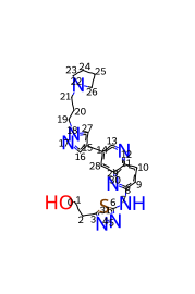 OCCc1nnc(Nc2ccc3ncc(-c4cnn(CCCN5CCCC5)c4)cc3n2)s1